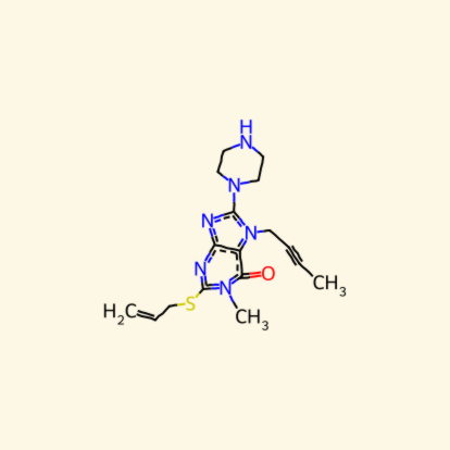 C=CCSc1nc2nc(N3CCNCC3)n(CC#CC)c2c(=O)n1C